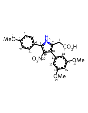 COc1ccc(-c2[nH]c(CC(=O)O)c(-c3cc(OC)cc(OC)c3)c2[N+](=O)[O-])cc1